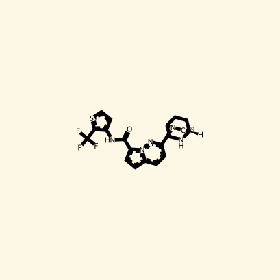 O=C(Nc1ccsc1C(F)(F)F)c1ccc2ccc(N3C[C@@H]4CCC3CN4)nn12